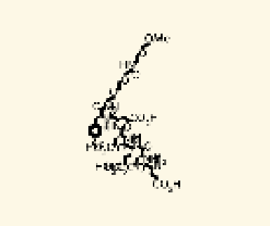 COCCOCCNC(=O)COCCOCCNC(=O)[C@H](Cc1ccc(C(C)=O)cc1)NC(=O)[C@@H](CCC(=O)O)NC(=O)[C@@H](CCC(=O)O)NC(=O)[C@@H](CCCC(=O)O)NC(=O)[C@@H](CCC(=O)O)NC(=O)[C@H](N)CCC(=O)O